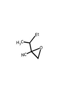 CCC(C)C1(C#N)CO1